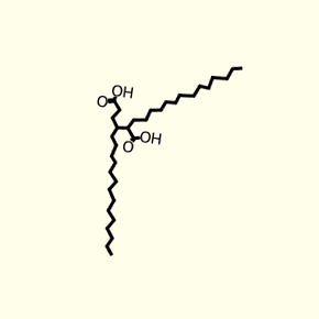 CCCCCCCCCCCCCCC(CCC(=O)O)C(CCCCCCCCCCCCCC)C(=O)O